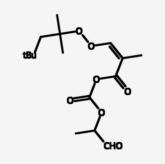 CC(=COOC(C)(C)CC(C)(C)C)C(=O)OC(=O)OC(C)C=O